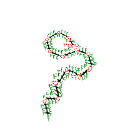 O=C(O)C(F)(F)OC(F)(F)C(F)(F)C(F)(F)OC(F)(F)C(F)(F)C(F)(F)OC(F)(F)C(F)(F)C(F)(F)OC(F)(F)C(F)(F)C(F)(F)OC(F)(F)C(F)(F)C(F)(F)OC(F)(F)C(F)(F)C(F)(F)OC(F)(F)C(F)(F)C(F)(F)OC(F)(F)C(F)(F)C(F)(F)OC(F)(F)C(F)(F)C(F)(F)OC(F)(F)C(F)(F)C(F)(F)OC(F)(F)C(F)(F)C(F)(F)OC(F)(F)C(F)(F)C(F)(F)OC(F)(F)C(F)(F)C(F)(F)F